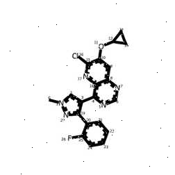 Cn1cc(-c2ncnc3cc(OC4CC4)c(Cl)nc23)c(-c2ccccc2F)n1